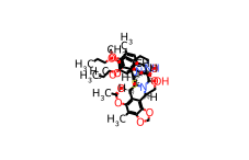 CCCOc1cc2c(cc1OC)[C@@]1(CS[C@@H]3c4c(OC(C)=O)c(C)c5c(c4[C@H](COC1=O)N1C3[C@H]3c4c(cc(C)c(OC)c4OCCC)C[C@@H]([C@@H]1O)N3C)OCO5)NCC2